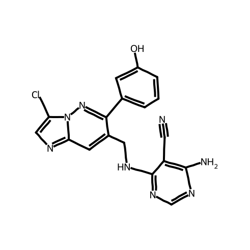 N#Cc1c(N)ncnc1NCc1cc2ncc(Cl)n2nc1-c1cccc(O)c1